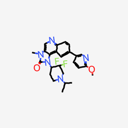 COc1ccc(-c2ccc3ncc4c(c3c2)n(C2CCN(C(C)C)CC2(F)F)c(=O)n4C)cn1